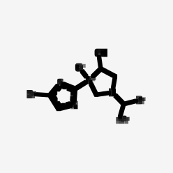 CCCC(Br)N1CC(O)[N+]([O-])(c2ncc(Br)s2)C1